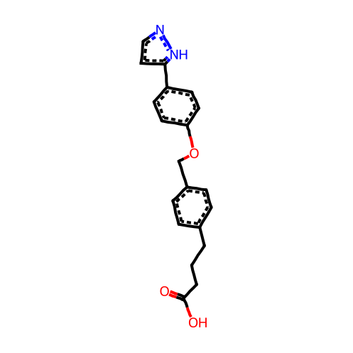 O=C(O)CCCc1ccc(COc2ccc(-c3ccn[nH]3)cc2)cc1